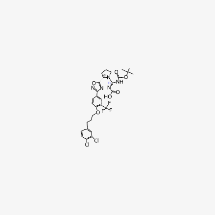 CC(C)(C)OC(=O)N/C(=N\C(=O)O)N1CCC[C@H]1c1nc(-c2ccc(OCCCc3ccc(Cl)c(Cl)c3)c(C(F)(F)F)c2)no1